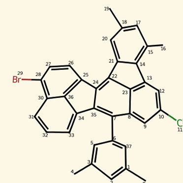 Cc1cc(C)cc(-c2c3cc(Cl)cc4c5c(C)cc(C)cc5c(c34)c3c4ccc(Br)c5cccc(c23)c54)c1